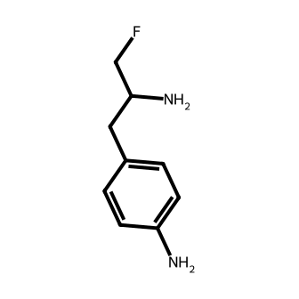 Nc1ccc(CC(N)CF)cc1